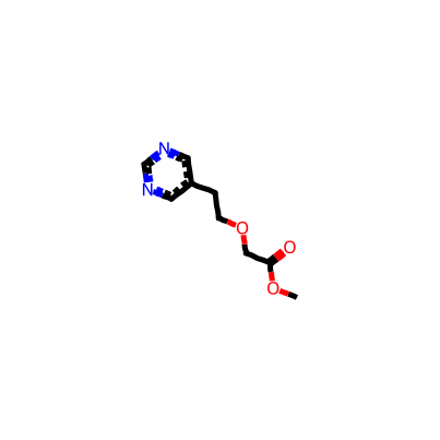 COC(=O)COCCc1cncnc1